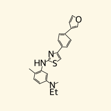 CCN(C)c1ccc(C)c(Nc2nc(-c3ccc(-c4ccoc4)cc3)cs2)c1